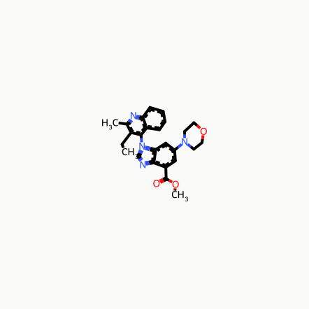 CCc1c(C)nc2ccccc2c1-n1cnc2c(C(=O)OC)cc(N3CCOCC3)cc21